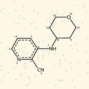 N#Cc1ncccc1NC1CCOCC1